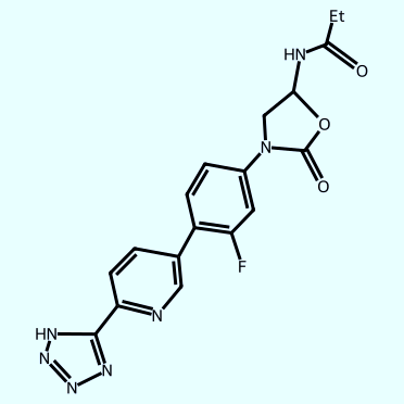 CCC(=O)NC1CN(c2ccc(-c3ccc(-c4nnn[nH]4)nc3)c(F)c2)C(=O)O1